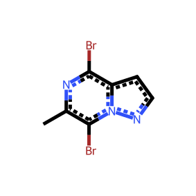 Cc1nc(Br)c2ccnn2c1Br